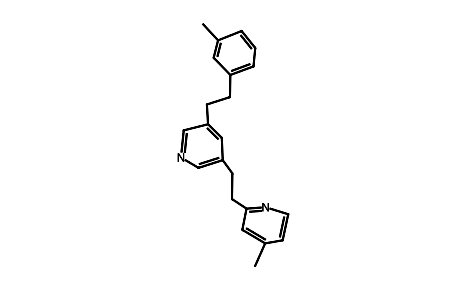 Cc1cccc(CCc2cncc(CCc3cc(C)ccn3)c2)c1